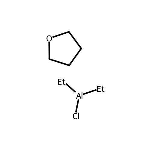 C1CCOC1.C[CH2][Al]([Cl])[CH2]C